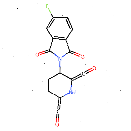 O=C=C1CCC(N2C(=O)c3ccc(F)cc3C2=O)C(=C=O)N1